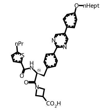 CCCCCCCOc1ccc(-c2cnc(-c3ccc(C[C@H](NC(=O)c4ccc(CCC)s4)C(=O)N4CC(C(=O)O)C4)cc3)nc2)cc1